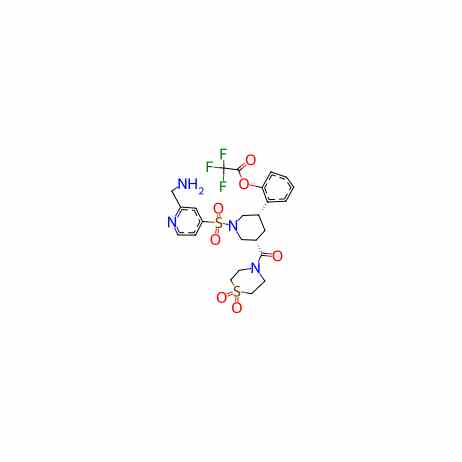 NCc1cc(S(=O)(=O)N2C[C@@H](C(=O)N3CCS(=O)(=O)CC3)C[C@@H](c3ccccc3OC(=O)C(F)(F)F)C2)ccn1